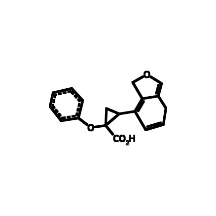 O=C(O)C1(Oc2ccccc2)CC1C1=C2COC=C2CC=C1